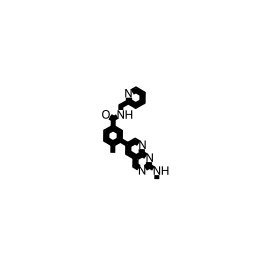 CNc1ncc2cc(-c3cc(C(=O)NCc4ccccn4)ccc3C)cnc2n1